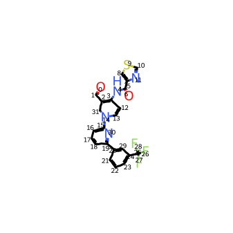 O=CC1=C(NC(=O)c2cscn2)C=CN(c2cccc(-c3cccc(C(F)(F)F)c3)n2)C1